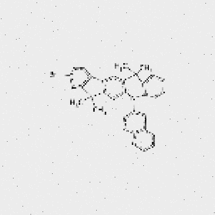 CC1(C)c2cc(Br)ccc2-c2cc3c(cc21)N(c1ccc2ccccc2c1)c1ccccc1C3(C)C